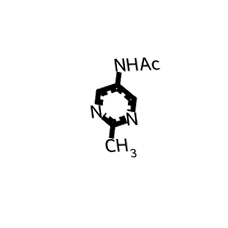 CC(=O)Nc1cnc(C)nc1